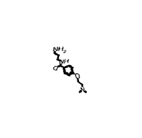 CN(C)CCOc1ccc(C(=O)NCCCN)cc1